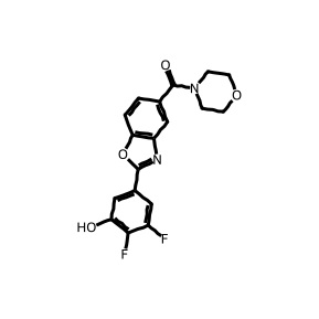 O=C(c1ccc2oc(-c3cc(O)c(F)c(F)c3)nc2c1)N1CCOCC1